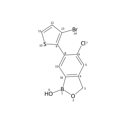 OB1OCc2cc(Cl)c(-c3sccc3Br)cc21